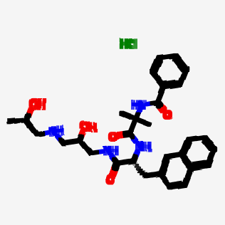 C[C@@H](O)CNCC(O)CNC(=O)[C@@H](Cc1ccc2ccccc2c1)NC(=O)C(C)(C)NC(=O)c1ccccc1.Cl